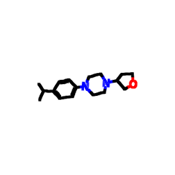 CC(C)c1ccc(N2CCN(C3CCOC3)CC2)cc1